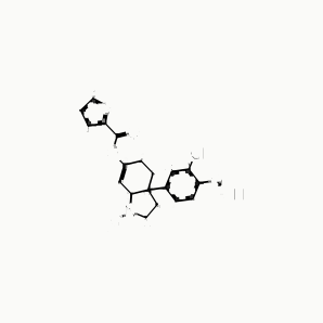 COc1ccc(C23CCC(OC(=O)c4cccs4)=CC2N(C)CC3)cc1C